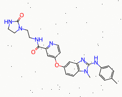 Cc1ccc(Nc2nc3cc(Oc4ccnc(C(=O)NCCN5CCNC5=O)c4)ccc3n2C)cc1